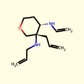 C=CCN[C@]1(CC=C)COCC[C@@H]1NC=C